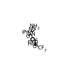 CC(C)n1c(=O)c(-c2cc(F)c(NS(=O)(=O)CCC(F)(F)F)c(F)c2)nc2cnc(N)nc21